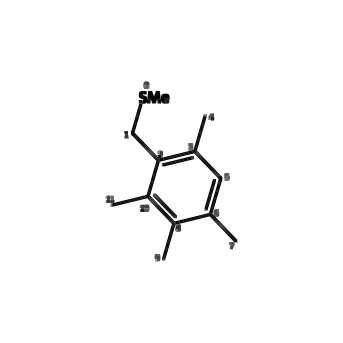 CSCc1c(C)cc(C)c(C)c1C